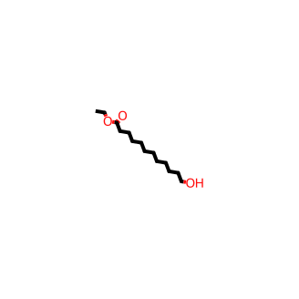 CCOC(=O)CCCCCCCCCCCO